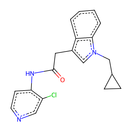 O=C(Cc1cn(CC2CC2)c2ccccc12)Nc1ccncc1Cl